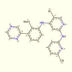 COc1c(Nc2cc(Nc3cccc(C#N)n3)ncc2C(C)=O)cccc1-c1cnccn1